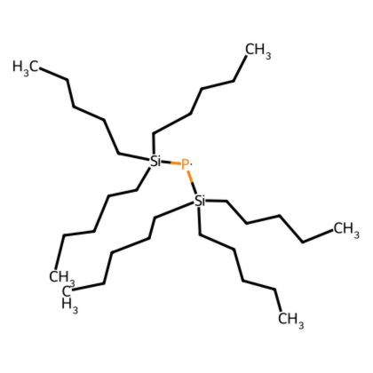 CCCCC[Si](CCCCC)(CCCCC)[P][Si](CCCCC)(CCCCC)CCCCC